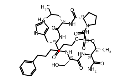 CC(=O)N1CCC[C@H]1C(=O)N[C@@H](CC(C)C)C(=O)N[C@@H](Cc1cnc[nH]1)C(=O)N[C@@H](CO)C(=O)N[C@H](C(N)=O)[C@@H](C)OP(=O)(O)OCCCCCCc1ccccc1